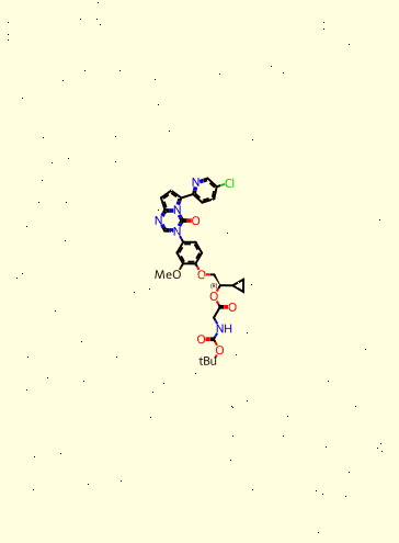 COc1cc(-n2cnc3ccc(-c4ccc(Cl)cn4)n3c2=O)ccc1OC[C@H](OC(=O)CNC(=O)OC(C)(C)C)C1CC1